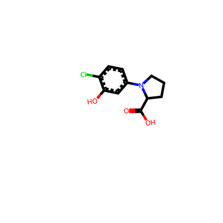 O=C(O)C1CCCN1c1ccc(Cl)c(O)c1